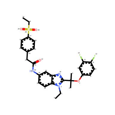 CCn1c(C(C)(C)Oc2ccc(F)c(F)c2)nc2cc(NC(=O)Cc3ccc(S(=O)(=O)CC)cc3)ccc21